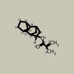 C=C(C)C(=O)OC1(I)CC2CC1C1C3CCC(C3)C21